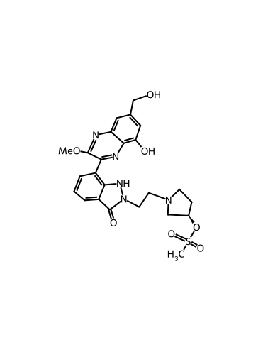 COc1nc2cc(CO)cc(O)c2nc1-c1cccc2c(=O)n(CCN3CC[C@@H](OS(C)(=O)=O)C3)[nH]c12